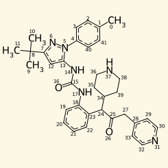 Cc1ccc(-n2nc(C(C)(C)C)cc2NC(=O)Nc2ccccc2C(C(=O)Cc2ccncc2)C2CCNCC2)cc1